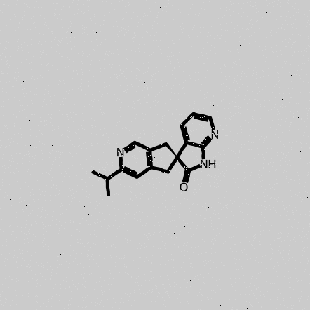 CC(C)c1cc2c(cn1)C[C@]1(C2)C(=O)Nc2ncccc21